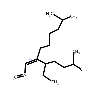 C=N/C=C(/CCCCC(C)C)C(CC)CCC(C)C